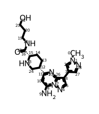 Cn1cc(-c2cnn3c(N)cc([C@H]4CC[C@@H](C(=O)NCCCO)NC4)nc23)cn1